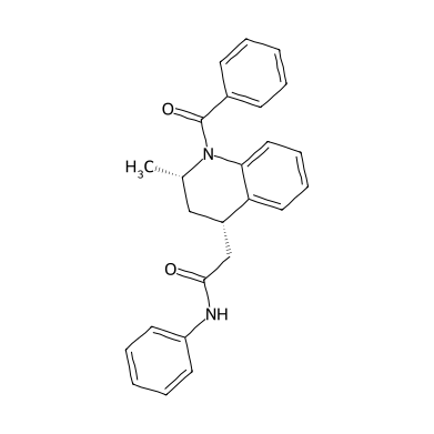 C[C@H]1C[C@@H](CC(=O)Nc2ccccc2)c2ccccc2N1C(=O)c1ccccc1